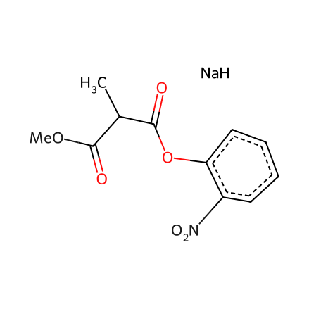 COC(=O)C(C)C(=O)Oc1ccccc1[N+](=O)[O-].[NaH]